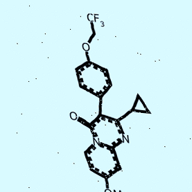 COc1ccn2c(=O)c(-c3ccc(OCC(F)(F)F)cc3)c(C3CC3)nc2c1